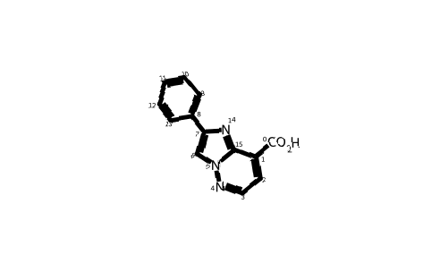 O=C(O)c1ccnn2cc(-c3ccccc3)nc12